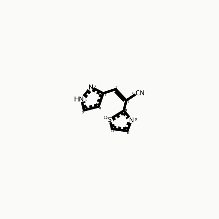 N#CC(=Cc1cc[nH]n1)c1nccs1